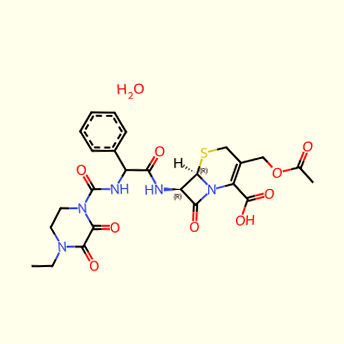 CCN1CCN(C(=O)NC(C(=O)N[C@@H]2C(=O)N3C(C(=O)O)=C(COC(C)=O)CS[C@H]23)c2ccccc2)C(=O)C1=O.O